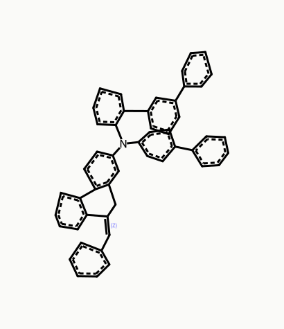 C(=C1\Cc2cc(N(c3ccc(-c4ccccc4)cc3)c3ccccc3-c3cccc(-c4ccccc4)c3)ccc2-c2ccccc21)/c1ccccc1